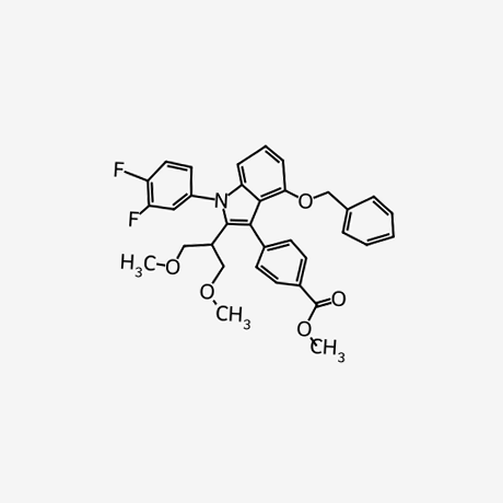 COCC(COC)c1c(-c2ccc(C(=O)OC)cc2)c2c(OCc3ccccc3)cccc2n1-c1ccc(F)c(F)c1